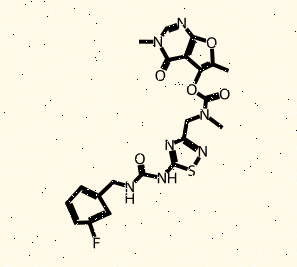 Cc1oc2ncn(C)c(=O)c2c1OC(=O)N(C)Cc1nsc(NC(=O)NCc2cccc(F)c2)n1